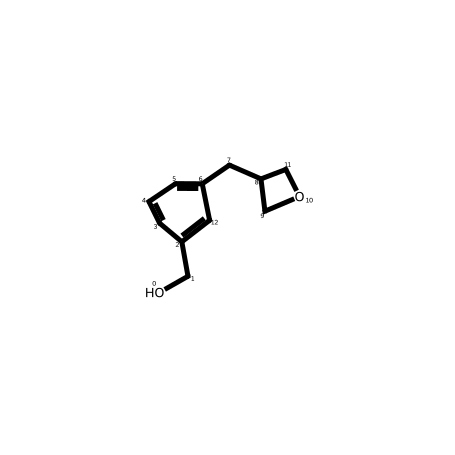 OCc1cccc(CC2COC2)c1